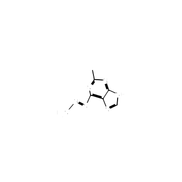 NN=Nc1nc(I)nc2[nH]cnc12